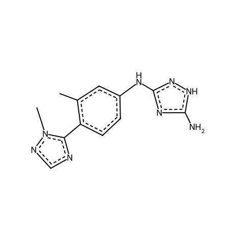 Cc1cc(Nc2n[nH]c(N)n2)ccc1-c1ncnn1C